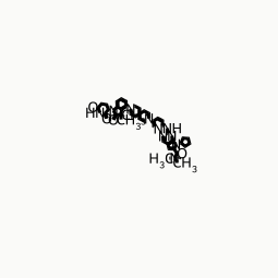 CN(C)C(=O)c1cc2cnc(Nc3ccc(N4CCC5(CC4)CCN(c4cccc6c4C(C)(C)C(=O)N6[C@H]4CCC(=O)NC4=O)CC5)cn3)nc2n1C1CCCC1